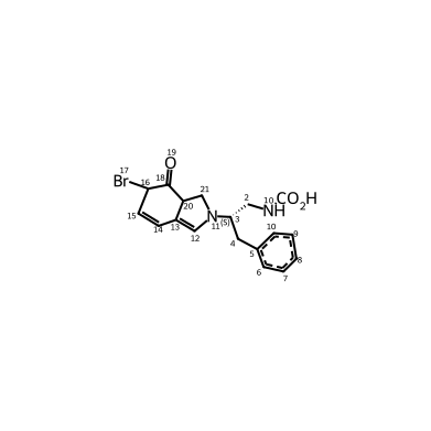 O=C(O)NC[C@H](Cc1ccccc1)N1C=C2C=CC(Br)C(=O)C2C1